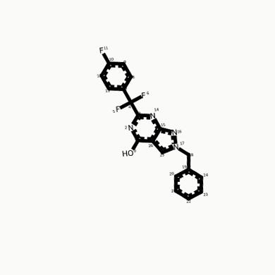 Oc1nc(C(F)(F)c2ccc(F)cc2)nc2nn(Cc3ccccc3)cc12